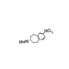 CN[C@H]1CCc2ccc([N+](=O)[O-])cc2CC1